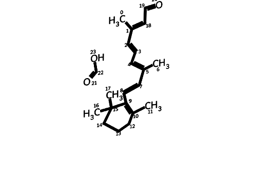 CC(C=CC=C(C)C=CC1=C(C)CCCC1(C)C)=CC=O.O=CO